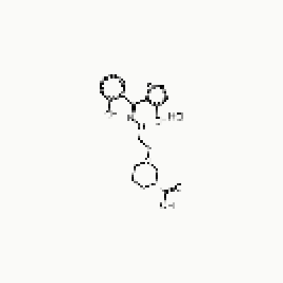 Cc1ccccc1C(=NOCCN1CCC[C@@H](C(=O)O)C1)c1sccc1C.Cl